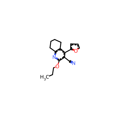 CCCOc1nc2c(c(-c3ccco3)c1C#N)CCCC2